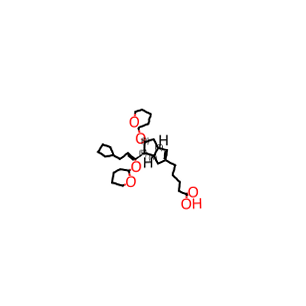 O=C(O)CCCCC1=C[C@@H]2C[C@@H](OC3CCCCO3)[C@H](C(=CCC3CCCC3)OC3CCCCO3)[C@@H]2C1